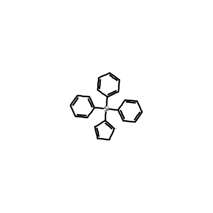 [C]1=C([Si](c2ccccc2)(c2ccccc2)c2ccccc2)C=CC1